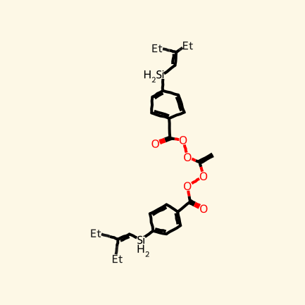 C=C(OOC(=O)c1ccc([SiH2]C=C(CC)CC)cc1)OOC(=O)c1ccc([SiH2]C=C(CC)CC)cc1